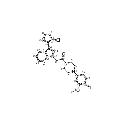 COc1cc(N2CCN(C(=O)Cn3nc(-c4nccn4Cl)c4cccnc43)CC2)ccc1Cl